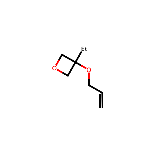 C=CCOC1(CC)COC1